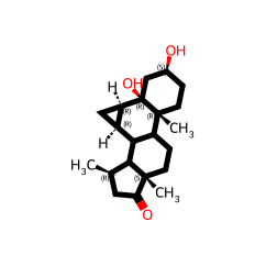 C[C@@H]1CC(=O)[C@@]2(C)CCC3C(C12)[C@H]1C[C@H]1[C@]1(O)C[C@@H](O)CC[C@]31C